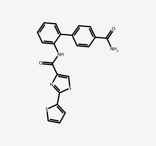 NC(=O)c1ccc(-c2ccccc2NC(=O)c2csc(-c3cccs3)n2)cc1